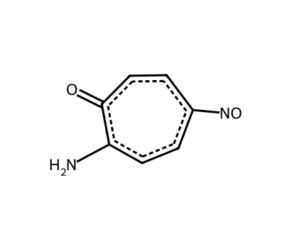 Nc1ccc(N=O)ccc1=O